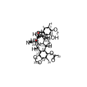 COc1c(C)cc2c(c1O)[C@@H]1C3[C@@H]4SCC(=O)C(=O)NC[C@@H](c5c6c(c(C)c(OC(C)=O)c54)OCO6)N3[C@@H](C#N)[C@H](C2)N1C